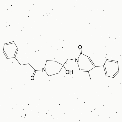 Cc1cn(CC2(O)CCN(C(=O)CCc3ccccc3)CC2)c(=O)cc1-c1ccccc1